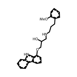 COc1ccccc1CCCNCC(O)COc1cccc2c1[nH]c1ccccc12